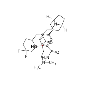 CN(C)CC[C@H](O)C(=O)N(CCN1[C@@H]2CC[C@H]1C[C@@H](c1cccc(C(N)=O)c1)C2)CC1CCC(F)(F)CC1